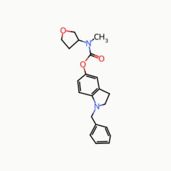 CN(C(=O)Oc1ccc2c(c1)CCN2Cc1ccccc1)C1CCOC1